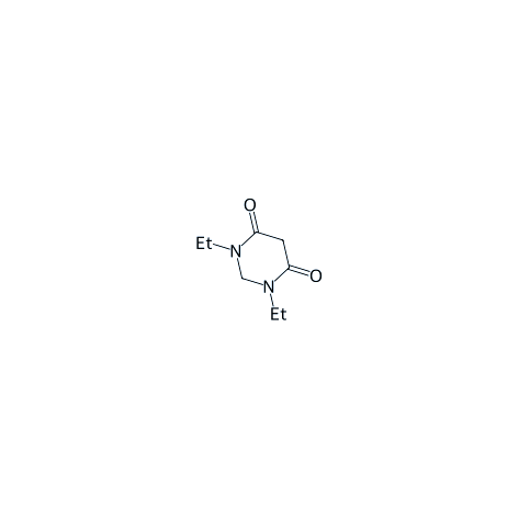 CCN1CN(CC)C(=O)CC1=O